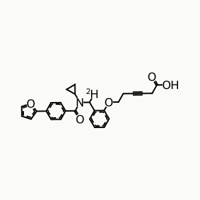 [2H]C(c1ccccc1OCCC#CCC(=O)O)N(C(=O)c1ccc(-c2ccco2)cc1)C1CC1